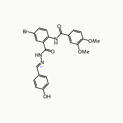 COc1ccc(C(=O)Nc2ccc(Br)cc2C(=O)N/N=C/c2ccc(O)cc2)cc1OC